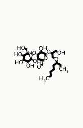 CCCCCC(CC)OCC(CO)O[C@@H]1O[C@H](CO)[C@@H](O[C@@H]2O[C@H](CO)[C@H](O)[C@H](O)[C@H]2O)[C@H](O)[C@H]1O